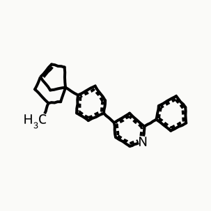 CC1CC2=CCC(c3ccc(-c4ccnc(-c5ccccc5)c4)cc3)(C2)C1